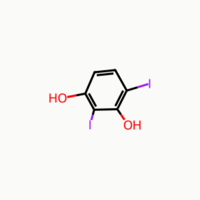 Oc1ccc(I)c(O)c1I